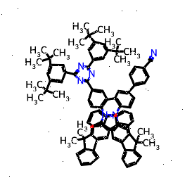 CC(C)(C)c1cc(-c2nc(-c3cc(C(C)(C)C)cc(C(C)(C)C)c3)nc(-c3ccc(-n4c5ccccc5c5cc6c(cc54)C(C)(C)c4ccccc4-6)c(-c4cc(-c5ccc(C#N)cc5)ccc4-n4c5ccccc5c5cc6c(cc54)C(C)(C)c4ccccc4-6)c3)n2)cc(C(C)(C)C)c1